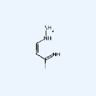 CC(=N)/C=C\NN